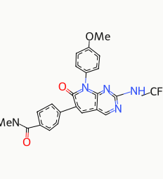 CNC(=O)c1ccc(-c2cc3cnc(NCC(F)(F)F)nc3n(-c3ccc(OC)cc3)c2=O)cc1